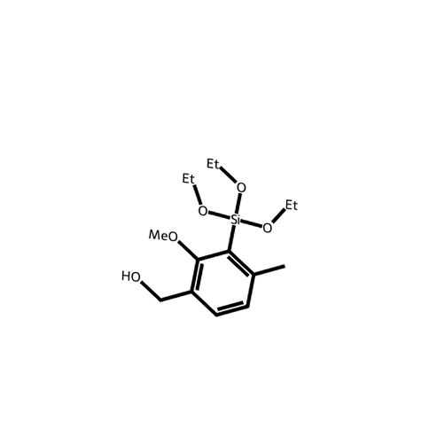 CCO[Si](OCC)(OCC)c1c(C)ccc(CO)c1OC